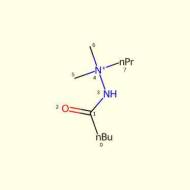 CCCCC(=O)N[N+](C)(C)CCC